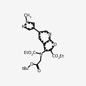 CCOC(=O)c1oc2ncc(-c3cnn(C)c3)cc2c1N(CC(=O)OC(C)(C)C)C(=O)OCC